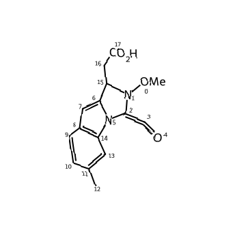 CON1C(=C=O)n2c(cc3ccc(C)cc32)C1CC(=O)O